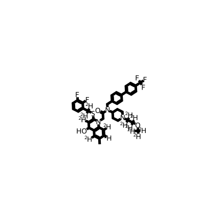 [2H]C1=C(SC([2H])([2H])c2cccc(F)c2F)N(CC(=O)N(Cc2ccc(-c3ccc(C(F)(F)F)cc3)cc2)C2CCN(C([2H])([2H])C([2H])([2H])OC([2H])([2H])[2H])CC2)c2c([2H])c([2H])c(C)c([2H])c2C1O